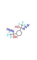 [N-]=[N+]=NC(O)(C1CCCC(C(O)(N=[N+]=[N-])C(F)(F)F)C1)C(F)(F)F